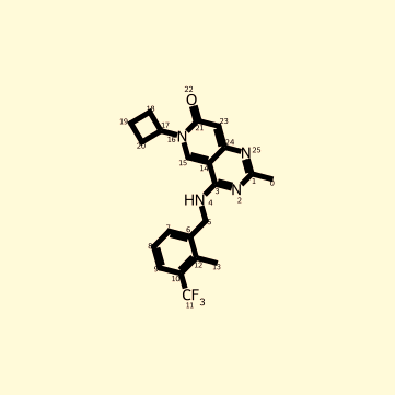 Cc1nc(NCc2cccc(C(F)(F)F)c2C)c2cn(C3CCC3)c(=O)cc2n1